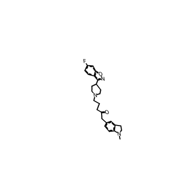 CN1CCc2cc(CC(=O)CCCN3CCC(c4noc5cc(F)ccc45)CC3)ccc21